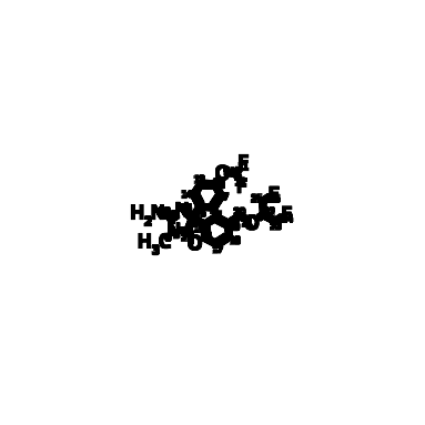 CN1C(=O)C(c2ccc(OC(F)F)cc2)(c2cccc(COC(CF)CF)c2)N=C1N